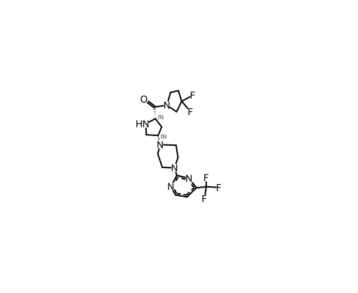 O=C([C@@H]1C[C@H](N2CCN(c3nccc(C(F)(F)F)n3)CC2)CN1)N1CCC(F)(F)C1